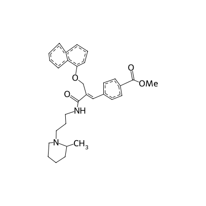 COC(=O)c1ccc(/C=C(\COc2cccc3ccccc23)C(=O)NCCCN2CCCCC2C)cc1